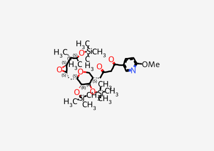 COc1ccc(C(=O)CC(=O)C[C@H]2CO[C@@H](C[C@@H]3O[C@H]3[C@H](C)[C@H](C)O[Si](C)(C)C)[C@@H](O[Si](C)(C)C)[C@@H]2O[Si](C)(C)C)cn1